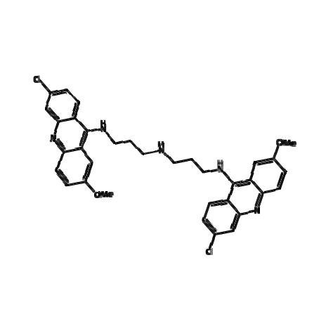 COc1ccc2nc3cc(Cl)ccc3c(NCCCNCCCNc3c4ccc(Cl)cc4nc4ccc(OC)cc34)c2c1